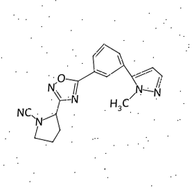 Cn1nccc1-c1cccc(-c2nc(C3CCCN3C#N)no2)c1